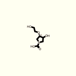 O=C(O)N1CC(O)[C@H](OCCO)C1